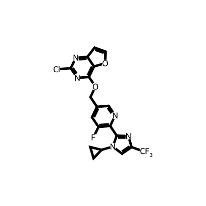 Fc1cc(COc2nc(Cl)nc3ccoc23)cnc1-c1nc(C(F)(F)F)cn1C1CC1